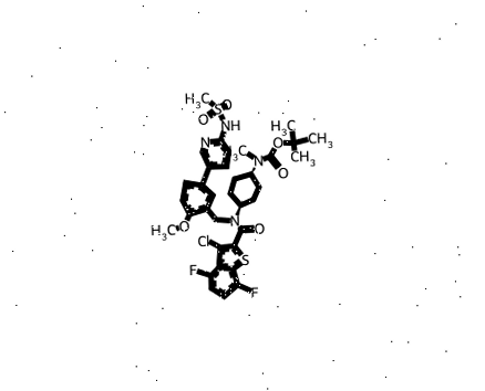 COc1ccc(-c2ccc(NS(C)(=O)=O)nc2)cc1CN(C(=O)c1sc2c(F)ccc(F)c2c1Cl)[C@H]1CC[C@H](N(C)C(=O)OC(C)(C)C)CC1